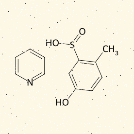 Cc1ccc(O)cc1S(=O)O.c1ccncc1